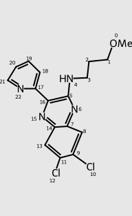 COCCCNc1nc2cc(Cl)c(Cl)cc2nc1-c1ccccn1